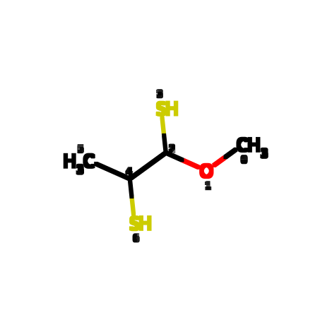 COC(S)C(C)S